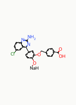 COc1ccc(-c2nc(N)nc3ccc(Cl)cc23)cc1OCc1ccc(C(=O)O)cc1.[NaH]